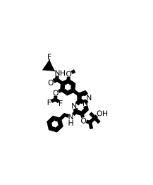 COc1cc(-c2cnn3cc(OC(C)C(C)(C)O)c(NCc4ccccc4)nc23)cc(OC(F)F)c1C(=O)N[C@@H]1C[C@@H]1F